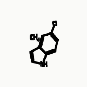 C.Clc1ccc2[nH]ccc2c1